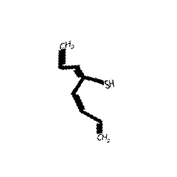 C=C/C=C\C(S)=C/C=C